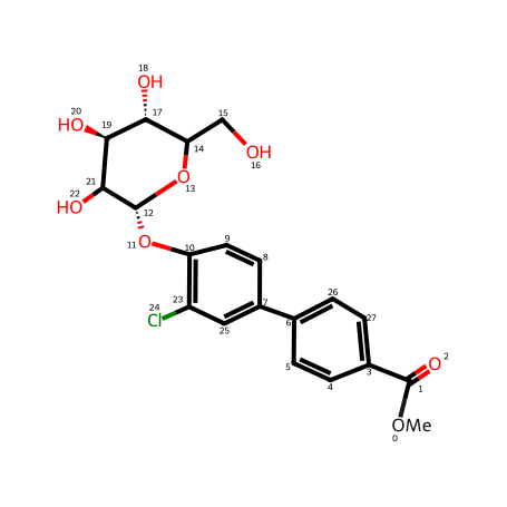 COC(=O)c1ccc(-c2ccc(O[C@H]3OC(CO)[C@@H](O)[C@H](O)C3O)c(Cl)c2)cc1